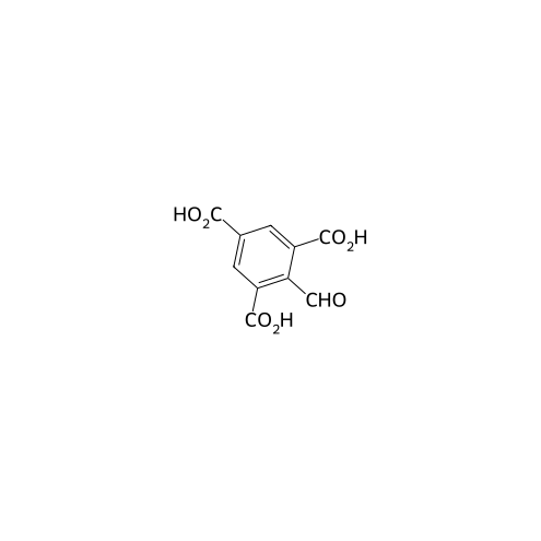 O=Cc1c(C(=O)O)cc(C(=O)O)cc1C(=O)O